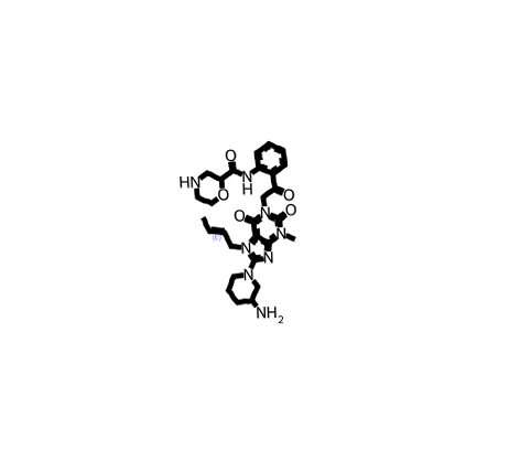 C/C=C/Cn1c(N2CCCC(N)C2)nc2c1c(=O)n(CC(=O)c1ccccc1NC(=O)C1CNCCO1)c(=O)n2C